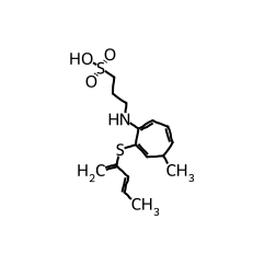 C=C(/C=C/C)SC1=CC(C)C=CC=C1NCCCS(=O)(=O)O